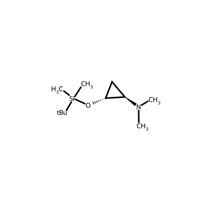 CN(C)[C@@H]1C[C@H]1O[Si](C)(C)C(C)(C)C